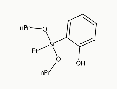 CCCO[Si](CC)(OCCC)c1ccccc1O